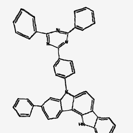 c1ccc(-c2ccc3c4c5[nH]c6ccccc6c5ccc4n(-c4ccc(-c5nc(-c6ccccc6)nc(-c6ccccc6)n5)cc4)c3c2)cc1